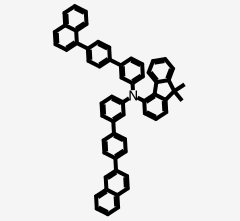 CC1(C)c2ccccc2-c2c(N(c3cccc(-c4ccc(-c5ccc6ccccc6c5)cc4)c3)c3cccc(-c4ccc(-c5cccc6ccccc56)cc4)c3)cccc21